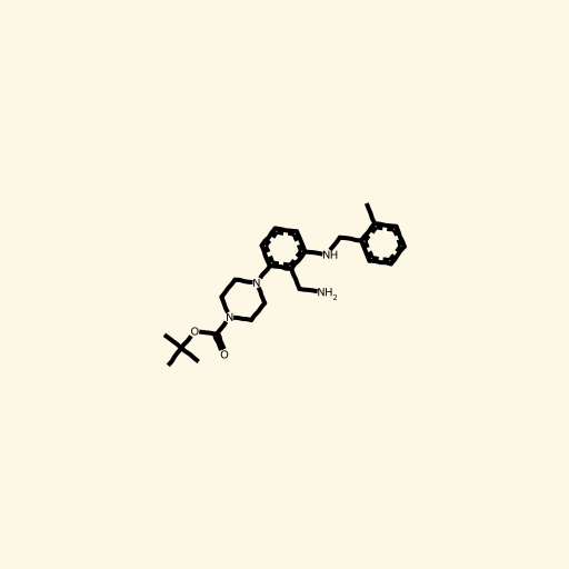 Cc1ccccc1CNc1cccc(N2CCN(C(=O)OC(C)(C)C)CC2)c1CN